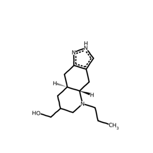 CCCN1CC(CO)C[C@H]2Cc3n[nH]cc3C[C@@H]21